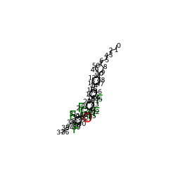 CCCCCCCC1CCC(c2ccc(-c3ccc(-c4cc(F)c(C(F)(F)Oc5cc(F)c(CCCCC)c(F)c5)c(F)c4)c(F)c3)cc2)CC1